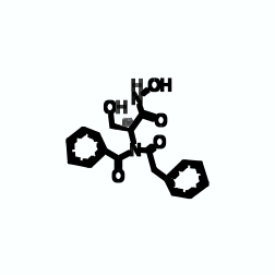 O=C(NO)[C@H](CO)N(C(=O)Cc1ccccc1)C(=O)c1ccccc1